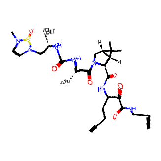 C#CCCC(NC(=O)[C@@H]1[C@@H]2[C@H](CN1C(=O)[C@@H](NC(=O)N[C@H](CN1CCN(C)[S+]1[O-])C(C)(C)C)C(C)(C)C)C2(C)C)C(=O)C(=O)NCC=C